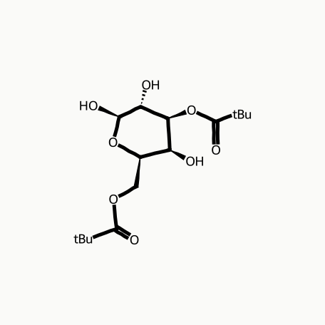 CC(C)(C)C(=O)OC[C@H]1O[C@@H](O)[C@H](O)[C@@H](OC(=O)C(C)(C)C)[C@H]1O